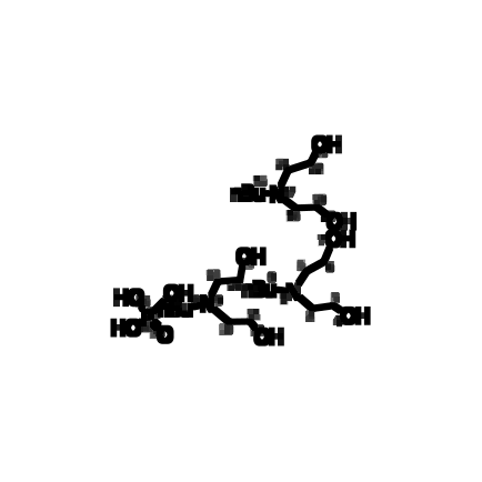 CCCCN(CCO)CCO.CCCCN(CCO)CCO.CCCCN(CCO)CCO.O=P(O)(O)O